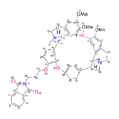 COc1cc2c3cc1Oc1c(OC)c(OC)cc4c1[C@@H](Cc1ccc(OCCCN5C(=O)c6ccccc6C5=O)c(c1)Oc1ccc(cc1)C[C@@H]3N(C)CC2)N(C)CC4